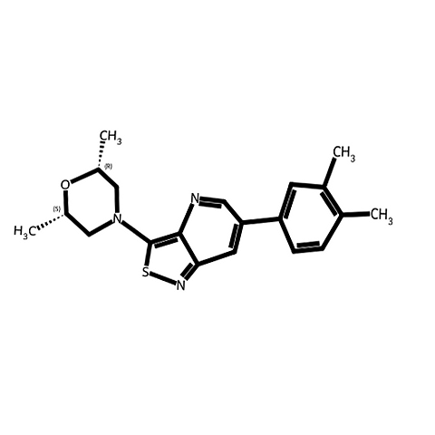 Cc1ccc(-c2cnc3c(N4C[C@@H](C)O[C@@H](C)C4)snc3c2)cc1C